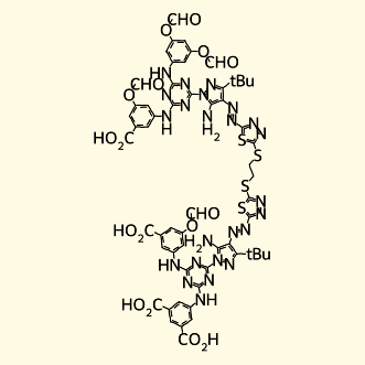 CC(C)(C)c1nn(-c2nc(Nc3cc(OC=O)cc(OC=O)c3)nc(Nc3cc(OC=O)cc(C(=O)O)c3)n2)c(N)c1N=Nc1nnc(SCCSc2nnc(N=Nc3c(C(C)(C)C)nn(-c4nc(Nc5cc(OC=O)cc(C(=O)O)c5)nc(Nc5cc(C(=O)O)cc(C(=O)O)c5)n4)c3N)s2)s1